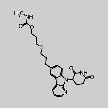 CNC(=O)OCCCOCCCc1ccc2c(c1)c1cccnc1n2C1CCC(=O)NC1=O